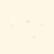 CC(C)(C)c1nc2ccnnc2s1